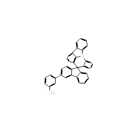 N#Cc1cccc(-c2ccc3c(c2)-c2ccccc2C32c3ccccc3-n3c4ccccc4c4cccc2c43)c1